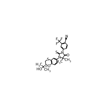 CC(C)(O)[C@H]1CSc2cc(N3C(=S)N(c4ccc(C#N)c(C(F)(F)F)c4)C(=O)C3(C)C)ccc2O1